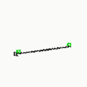 CCC(Cl)CCCCCCCCCCCCCCCCCCCCCCCCCCCCCCCCCCCC(C)Cl